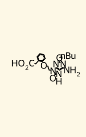 CCCCOc1nc(N)c2[nH]c(=O)n(CCOc3ccccc3CC(=O)O)c2n1